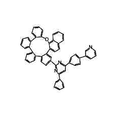 c1ccc(-c2cc(-c3ccc(-c4cccnc4)cc3)nc(-c3ccc4c(c3)-c3ccc5ccccc5c3Oc3ccccc3-c3ccccc3-c3ccccc3-4)n2)cc1